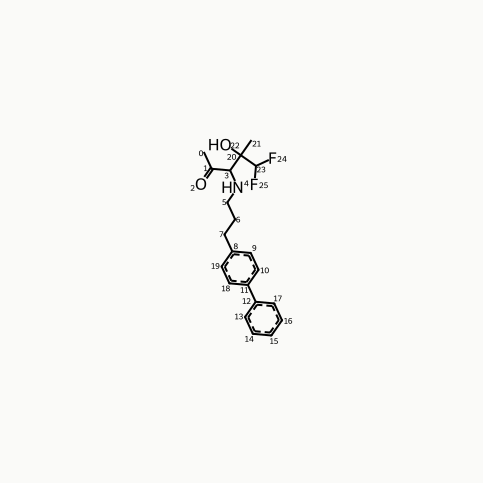 CC(=O)C(NCCCc1ccc(-c2ccccc2)cc1)C(C)(O)C(F)F